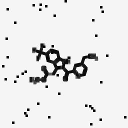 CCc1ccnc(C(=O)c2[nH]c3ccc(C(F)(F)F)cc3c2CC(=O)OC)c1